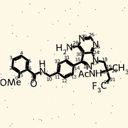 COc1ccccc1C(=O)NCc1ccc(-c2nn(CC(C)(CC(F)(F)F)NC(C)=O)c3ncnc(N)c23)cc1